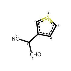 N#CC(C=O)c1ccsc1